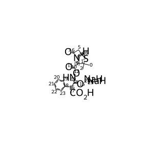 CC1(C)S[C@@H]2CC(=O)N2[C@H]1C(=O)ONC(=O)C(C(=O)O)c1ccccc1.[NaH].[NaH]